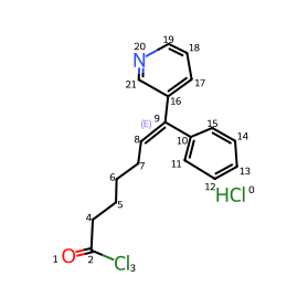 Cl.O=C(Cl)CCCC/C=C(\c1ccccc1)c1cccnc1